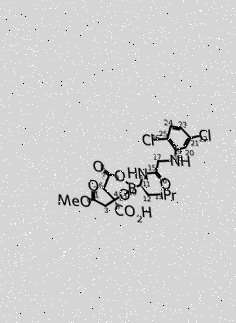 COC(=O)C[C@@]1(C(=O)O)CC(=O)OB([C@H](CC(C)C)NC(=O)CNc2cc(Cl)ccc2Cl)O1